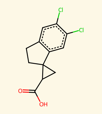 O=C(O)C1CC12CCc1cc(Cl)c(Cl)cc12